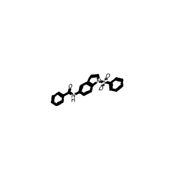 O=C(Nc1ccc2c(ccn2S(=O)(=O)c2ccccc2)c1)c1ccccc1